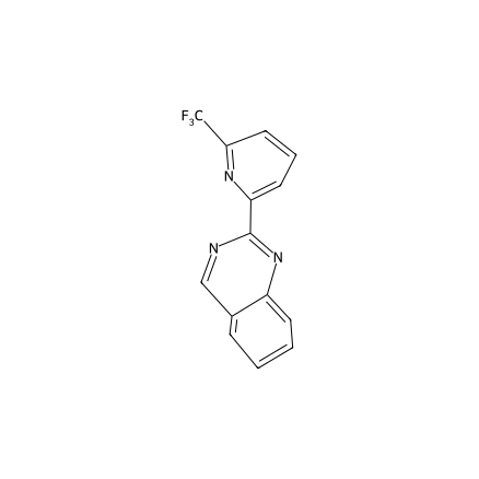 FC(F)(F)c1cccc(-c2ncc3ccccc3n2)n1